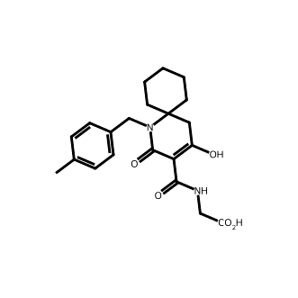 Cc1ccc(CN2C(=O)C(C(=O)NCC(=O)O)=C(O)CC23CCCCC3)cc1